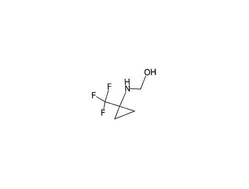 OCNC1(C(F)(F)F)CC1